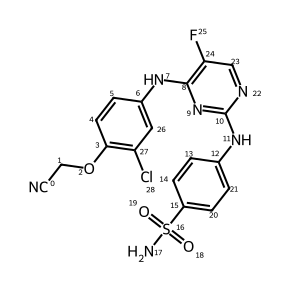 N#CCOc1ccc(Nc2nc(Nc3ccc(S(N)(=O)=O)cc3)ncc2F)cc1Cl